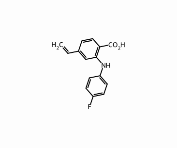 C=Cc1ccc(C(=O)O)c(Nc2ccc(F)cc2)c1